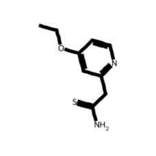 CCOc1ccnc(CC(N)=S)c1